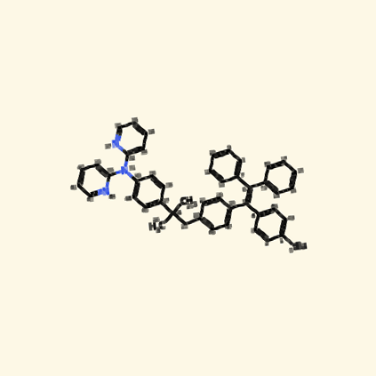 CC(C)(C)c1ccc(C(=C(c2ccccc2)c2ccccc2)c2ccc(CC(C)(C)c3ccc(N(c4ccccn4)c4ccccn4)cc3)cc2)cc1